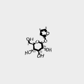 OC[C@H]1O[C@H](Oc2ccco2)[C@H](O)[C@@H](O)[C@@H]1O